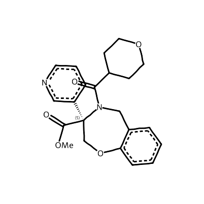 COC(=O)[C@]1(c2cccnc2)COc2ccccc2CN1C(=O)C1CCOCC1